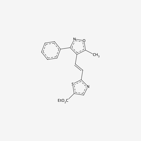 CCOC(=O)c1cnc(C=Cc2c(-c3ccccc3)noc2C)s1